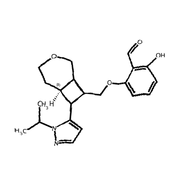 CC(C)n1nccc1C1C(COc2cccc(O)c2C=O)C2COCC[C@@H]21